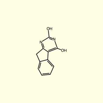 Oc1nc(O)c2c(n1)Cc1ccccc1-2